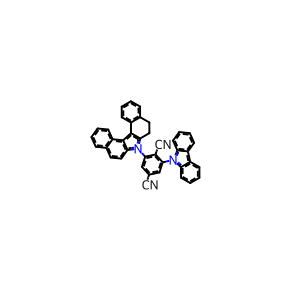 N#Cc1cc(-n2c3c(c4c5ccccc5ccc42)-c2ccccc2CC3)c(C#N)c(-n2c3ccccc3c3ccccc32)c1